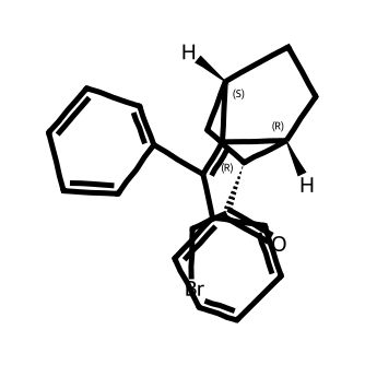 O=C(CBr)[C@@H]1C[C@@H]2CC[C@H]1C2=C(c1ccccc1)c1ccccc1